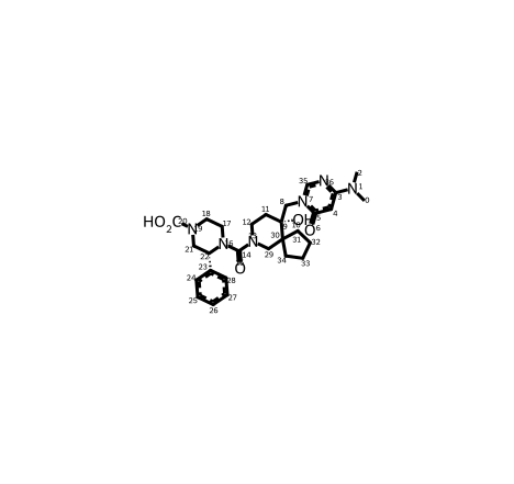 CN(C)c1cc(=O)n(C[C@]2(O)CCN(C(=O)N3CCN(C(=O)O)C[C@H]3c3ccccc3)CC23CCCC3)cn1